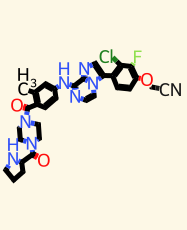 Cc1cc(Nc2nccn3c(-c4ccc(OCC#N)c(F)c4Cl)cnc23)ccc1C(=O)N1CCN(C(=O)C2CCCN2)CC1